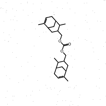 CC1=CCC2CC1CC(COC(=O)OCC1CC3CC(CC=C3C)C1C)C2C